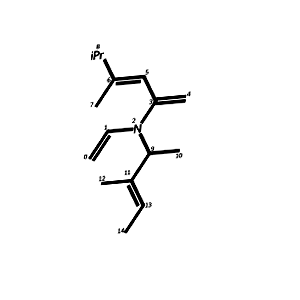 C=CN(C(=C)/C=C(\C)C(C)C)C(C)/C(C)=C/C